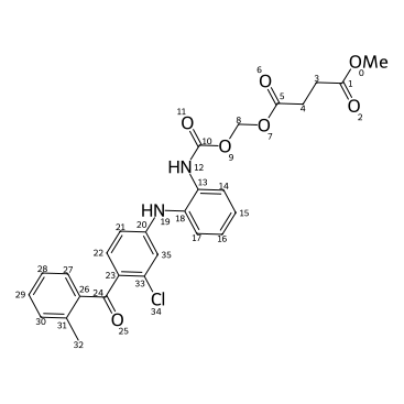 COC(=O)CCC(=O)OCOC(=O)Nc1ccccc1Nc1ccc(C(=O)c2ccccc2C)c(Cl)c1